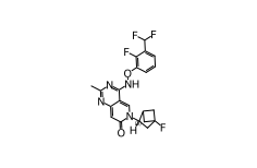 Cc1nc(NOc2cccc(C(F)F)c2F)c2cn([C@H]3CC4(F)CC3C4)c(=O)cc2n1